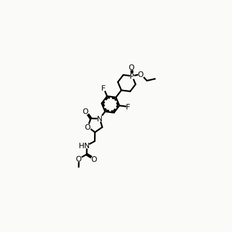 CCOP1(=O)CCC(c2c(F)cc(N3CC(CNC(=O)OC)OC3=O)cc2F)CC1